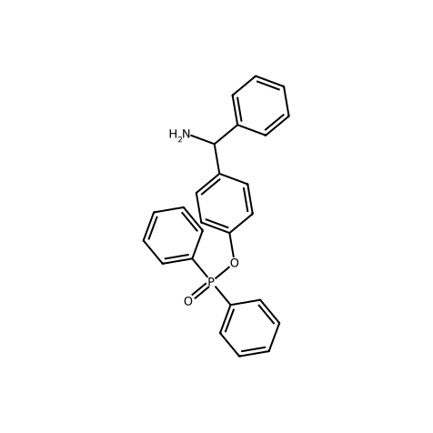 NC(c1ccccc1)c1ccc(OP(=O)(c2ccccc2)c2ccccc2)cc1